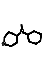 CN(C1CCCCC1)C1CC[N]CC1